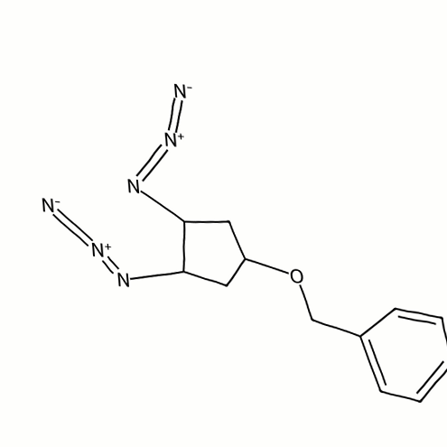 [N-]=[N+]=NC1CC(OCc2ccccc2)CC1N=[N+]=[N-]